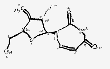 C=C1[C@H](CO)O[C@H](n2ccc(=O)[nH]c2=O)[C@H]1F